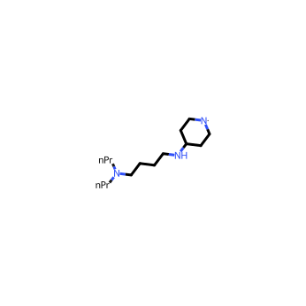 CCCN(CCC)CCCCNC1CC[N]CC1